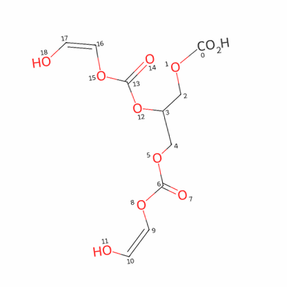 O=C(O)OCC(COC(=O)O/C=C\O)OC(=O)O/C=C\O